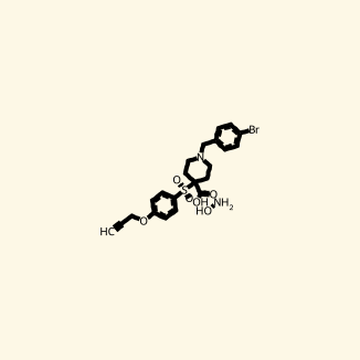 C#CCOc1ccc(S(=O)(=O)C2(C(=O)O)CCN(Cc3ccc(Br)cc3)CC2)cc1.NO